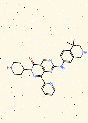 CC1(C)CNCc2cc(Nc3ncc4c(=O)n(C5CCNCC5)nc(-c5ccccn5)c4n3)ccc21